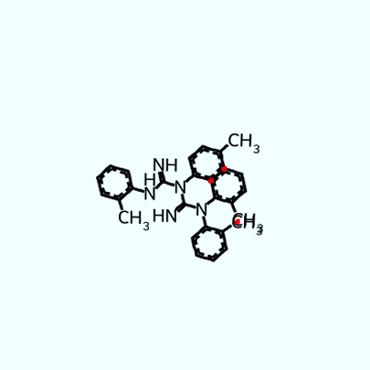 Cc1ccc(N(C(=N)Nc2ccccc2C)C(=N)N(c2ccccc2C)c2ccccc2C)cc1